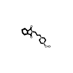 O=[C]N1CCN(CCCN2C(=O)c3ccccc3C2=O)CC1